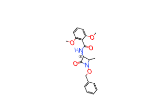 COc1cccc(OC)c1C(=O)N[C@@H]1C(=O)N(OCc2ccccc2)C1C